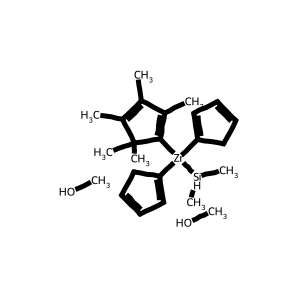 CC1=C(C)C(C)(C)[C]([Zr]([C]2=CC=CC2)([C]2=CC=CC2)[SiH](C)C)=C1C.CO.CO